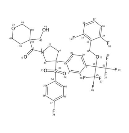 O=C(N1CCC(c2ccc(C(OCc3c(F)cccc3F)(C(F)(F)F)C(F)(F)F)cc2)(S(=O)(=O)c2ccc(F)cc2)C1)C1(CO)CCOCC1